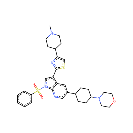 CN1CCC(c2csc(-c3cn(S(=O)(=O)c4ccccc4)c4ncc(C5CCC(N6CCOCC6)CC5)cc34)n2)CC1